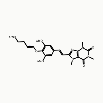 COc1cc(C=Cc2nc3c(c(=O)n(C)c(=O)n3C)n2C)cc(OC)c1O/C=C/CCNC(C)=O